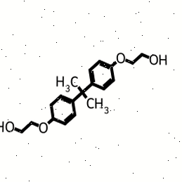 CC(C)(C1=CCC(OCCO)C=C1)c1ccc(OCCO)cc1